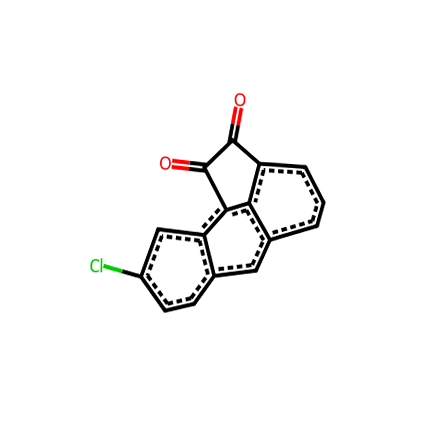 O=C1C(=O)c2c3cc(Cl)ccc3cc3cccc1c23